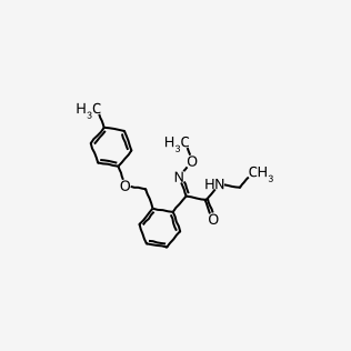 CCNC(=O)C(=NOC)c1ccccc1COc1ccc(C)cc1